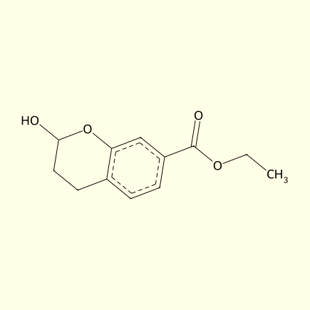 CCOC(=O)c1ccc2c(c1)OC(O)CC2